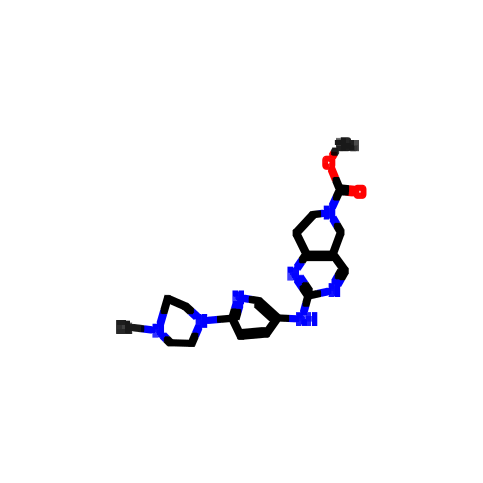 CCN1CCN(c2ccc(Nc3ncc4c(n3)CCN(C(=O)OC(C)(C)C)C4)cn2)CC1